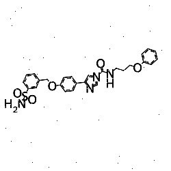 NS(=O)(=O)c1cccc(COc2ccc(-c3cn(C(=O)NCCCOc4ccccc4)cn3)cc2)c1